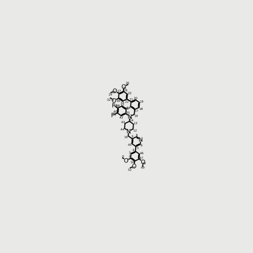 COc1cc(-c2cncc(CN3CCC(N(Cc4cccc(-c5cc(OC)c(OC)c(OC)c5)c4)c4ccc(F)c(F)c4)CC3)c2)cc(OC)c1OC